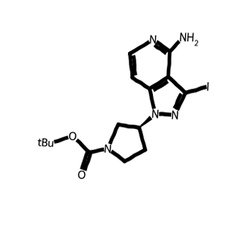 CC(C)(C)OC(=O)N1CC[C@H](n2nc(I)c3c(N)nccc32)C1